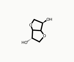 O[C@@H]1COC2C1OC[C@@H]2O